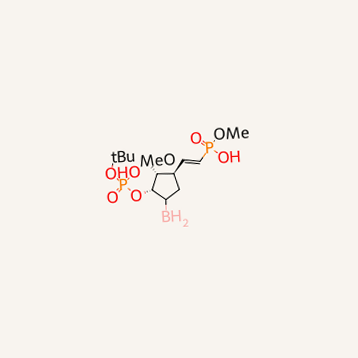 BC1C[C@H](/C=C/P(=O)(O)OC)[C@@H](OC)[C@H]1OP(=O)(O)OC(C)(C)C